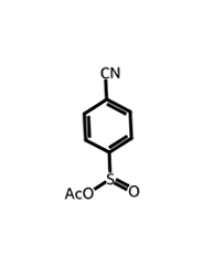 CC(=O)OS(=O)c1ccc(C#N)cc1